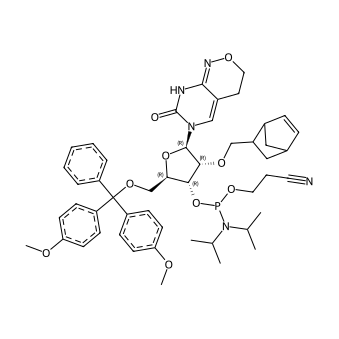 COc1ccc(C(OC[C@H]2O[C@@H](N3C=C4CCON=C4NC3=O)[C@H](OCC3CC4C=CC3C4)[C@@H]2OP(OCCC#N)N(C(C)C)C(C)C)(c2ccccc2)c2ccc(OC)cc2)cc1